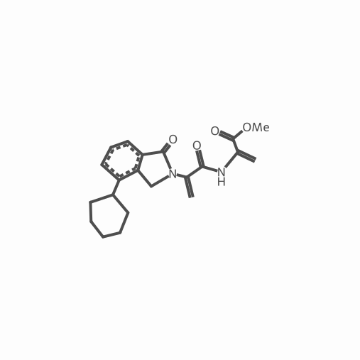 C=C(NC(=O)C(=C)N1Cc2c(cccc2C2CCCCC2)C1=O)C(=O)OC